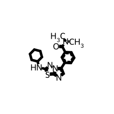 CN(C)C(=O)c1cccc(-c2cnc3sc(NC4CCCCC4)nn23)c1